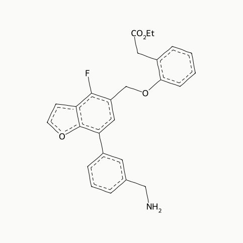 CCOC(=O)Cc1ccccc1OCc1cc(-c2cccc(CN)c2)c2occc2c1F